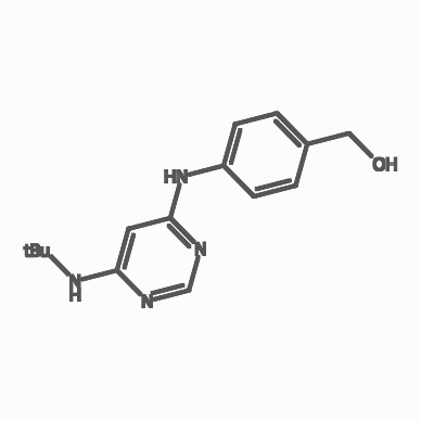 CC(C)(C)Nc1cc(Nc2ccc(CO)cc2)ncn1